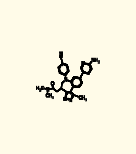 Cc1noc2c1-c1ccc(-c3ccc(N)nc3)cc1N(c1ccc(C#N)cc1)CC2CC(=O)N(C)C